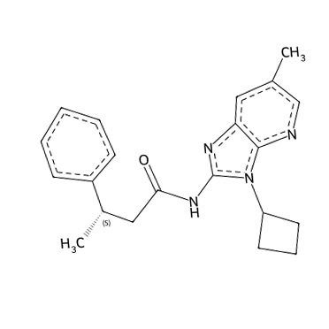 Cc1cnc2c(c1)nc(NC(=O)C[C@H](C)c1ccccc1)n2C1CCC1